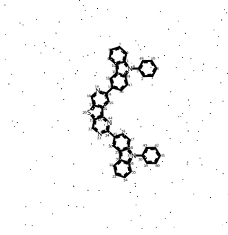 c1ccc(-n2c3ccccc3c3cc(-c4cc5c(cn4)sc4cnc(-c6ccc7c(c6)c6ccccc6n7-c6ccccc6)nc45)ccc32)cc1